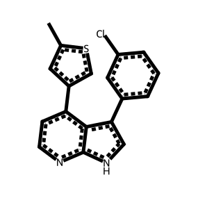 Cc1cc(-c2ccnc3[nH]cc(-c4cccc(Cl)c4)c23)cs1